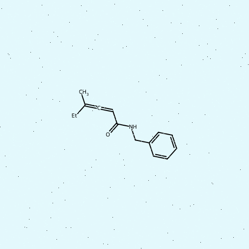 CCC(C)=C=CC(=O)NCc1ccccc1